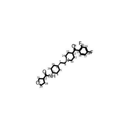 O=C(N[C@H]1CC[C@H](CCN2CCC(C(=O)c3ccc(F)cc3F)CC2)CC1)C1CCOC1